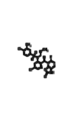 COCN(c1cc(Cl)cnc1C(=O)c1c(F)ccc2[nH]c(=O)oc12)S(=O)(=O)c1ccc(Cl)c(C)c1